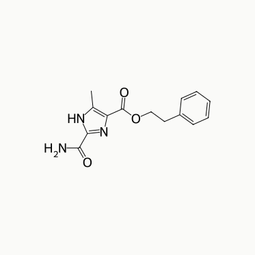 Cc1[nH]c(C(N)=O)nc1C(=O)OCCc1ccccc1